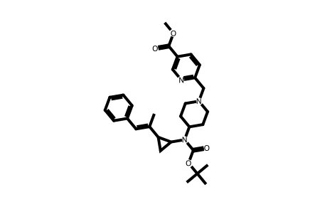 COC(=O)c1ccc(CN2CCC(N(C(=O)OC(C)(C)C)C3CC3/C(C)=C/c3ccccc3)CC2)nc1